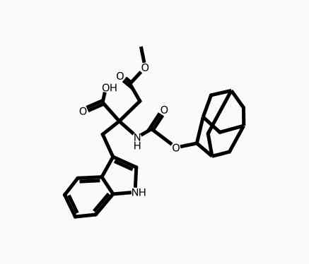 COC(=O)CC(Cc1c[nH]c2ccccc12)(NC(=O)OC1C2CC3CC(C2)CC1C3)C(=O)O